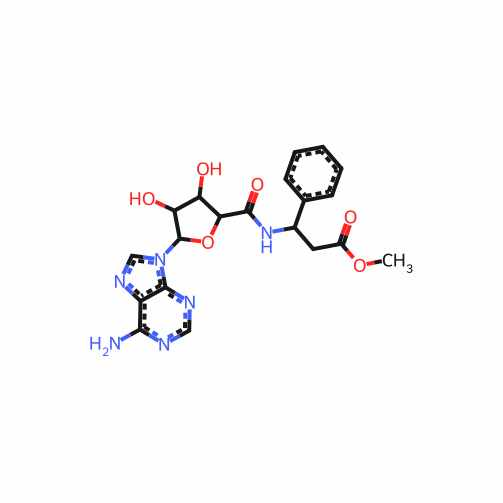 COC(=O)CC(NC(=O)C1OC(n2cnc3c(N)ncnc32)C(O)C1O)c1ccccc1